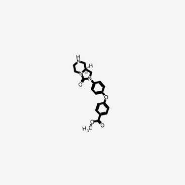 COC(=O)c1ccc(Oc2ccc(N3C[C@@H]4CNCCN4C3=O)cc2)cc1